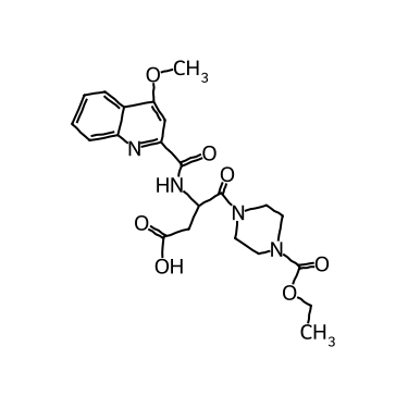 CCOC(=O)N1CCN(C(=O)C(CC(=O)O)NC(=O)c2cc(OC)c3ccccc3n2)CC1